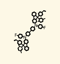 C=Cc1ccc(C2(c3cc(C)ccc3C)c3ccccc3-c3ccc(N(c4ccc(F)cc4)c4ccc(-c5ccc(N(c6ccc(F)cc6)c6ccc7c(c6)C(c6ccc(C=C)cc6)(C6C=C(C)C=CC6C)c6ccccc6-7)cc5)cc4)cc32)cc1